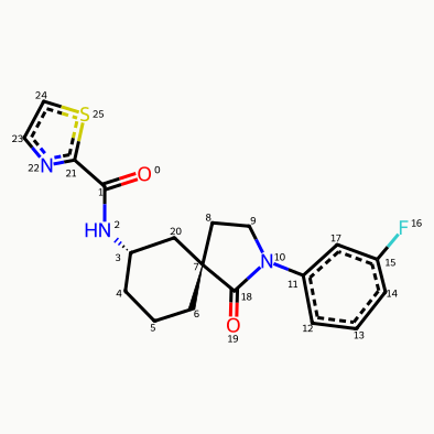 O=C(N[C@H]1CCC[C@]2(CCN(c3cccc(F)c3)C2=O)C1)c1nccs1